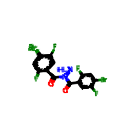 NN(C(=O)c1cc(F)c(Br)cc1F)C(=O)c1cc(F)c(Br)cc1F